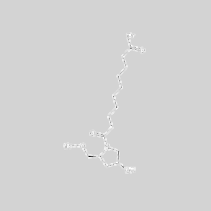 CC(C)OC[C@@H]1C[C@H](O)CN1C(=O)CCCCCCCCC(=O)C(C)C